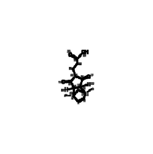 C[C@]12C=C[C@](C)(C1)[C@@H]1C(=O)N(CCC(=O)O)C(=O)[C@@H]12